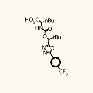 CCCC[C@H](NC(=O)O[C@H](c1nnc(-c2ccc(C(F)(F)F)cc2)o1)C(C)(C)C)C(=O)O